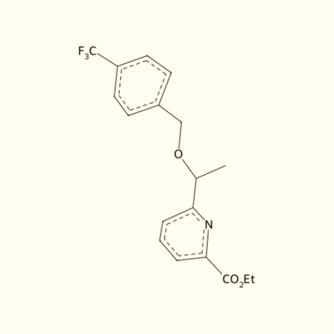 CCOC(=O)c1cccc(C(C)OCc2ccc(C(F)(F)F)cc2)n1